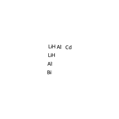 [Al].[Al].[Bi].[Cd].[LiH].[LiH]